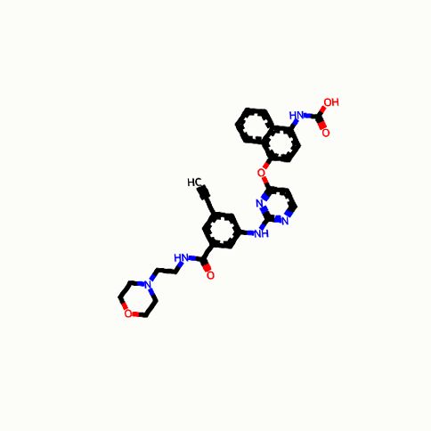 C#Cc1cc(Nc2nccc(Oc3ccc(NC(=O)O)c4ccccc34)n2)cc(C(=O)NCCN2CCOCC2)c1